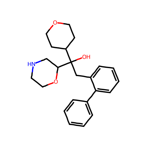 OC(Cc1ccccc1-c1ccccc1)(C1CCOCC1)C1CNCCO1